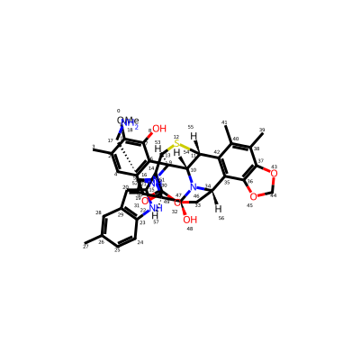 COc1c(C)cc2c(c1O)[C@H]1[C@@H]3[C@@H]4SC[C@]5(N[C@@H](CN)Cc6c5[nH]c5ccc(C)cc65)C(=O)OC[C@@H](c5c6c(c(C)c(C)c54)OCO6)N3[C@@H](O)[C@@H](C2)N1C